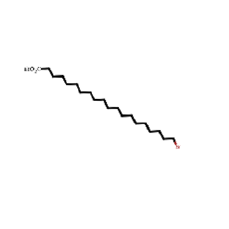 CCOC(=O)CCCCCCCCCCCCCCCCCCCBr